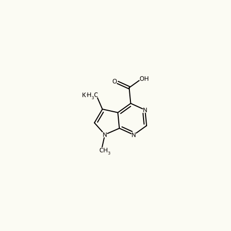 Cc1cn(C)c2ncnc(C(=O)O)c12.[K]